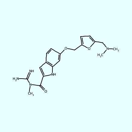 CN(C)Cc1ccc(COc2ccc3cc(C(=O)N(C)C(=N)N)[nH]c3c2)o1